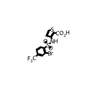 O=C(O)c1sccc1NS(=O)(=O)c1ccc(C(F)(F)F)cc1Br